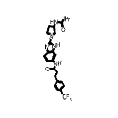 CC(C)C(=O)NC1CCN(c2nc3ccc(NC(=O)CCc4ccc(C(F)(F)F)cc4)cc3[nH]2)C1